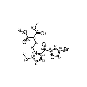 COC(=O)C(CCn1c(SC)ccc1C(=O)c1cc(Br)co1)C(=O)OC